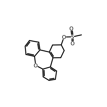 CS(=O)(=O)OC1CCC2=C(C1)c1ccccc1Oc1ccccc12